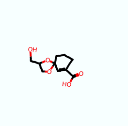 O=C(O)C1=CC2(CCC1)OCC(CO)O2